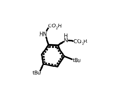 CC(C)(C)c1cc(NC(=O)O)c(NC(=O)O)c(C(C)(C)C)c1